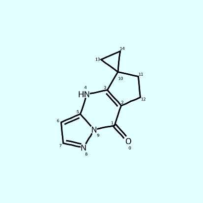 O=c1c2c([nH]c3ccnn13)C1(CC2)CC1